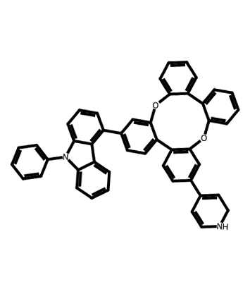 C1=CC(c2ccc3c(c2)Oc2ccccc2-c2ccccc2Oc2cc(-c4cccc5c4c4ccccc4n5-c4ccccc4)ccc2-3)=CCN1